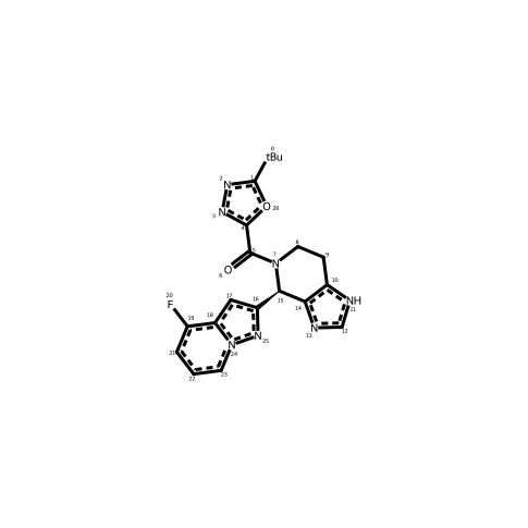 CC(C)(C)c1nnc(C(=O)N2CCc3[nH]cnc3[C@H]2c2cc3c(F)cccn3n2)o1